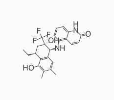 CC[C@H]1C[C@@](O)(C(F)(F)F)[C@@H](Nc2cccc3[nH]c(=O)ccc23)c2cc(C)c(C)c(O)c21